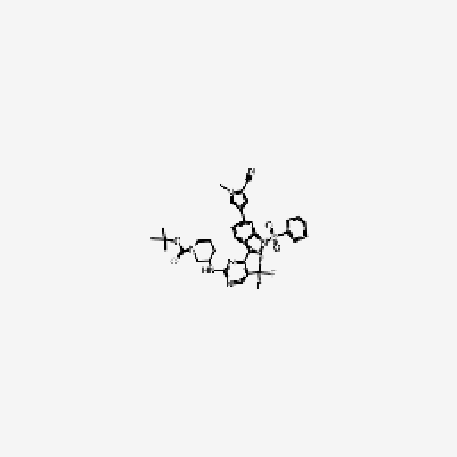 Cn1cc(-c2ccc3c(-c4nc(NC5CCCN(C(=O)OC(C)(C)C)C5)ncc4C(F)(F)F)cn(S(=O)(=O)c4ccccc4)c3c2)cc1C#N